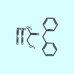 CCC(C)=O.N=C=O.N=C=O.c1ccc(Cc2ccccc2)cc1